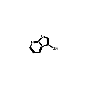 CC(C)(C)c1coc2ncccc12